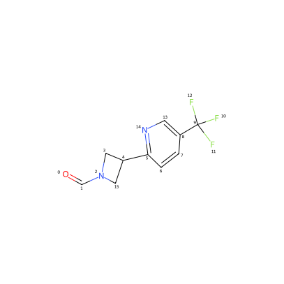 O=CN1CC(c2ccc(C(F)(F)F)cn2)C1